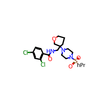 CCCS(=O)(=O)N1CCN(C2(CNC(=O)c3ccc(Cl)cc3Cl)CCCOC2)CC1